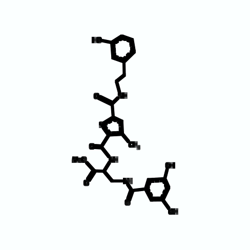 COC(=O)C(CNC(=O)c1cc(O)cc(O)c1)NC(=O)c1sc(C(=O)NCCc2cccc(O)c2)cc1C